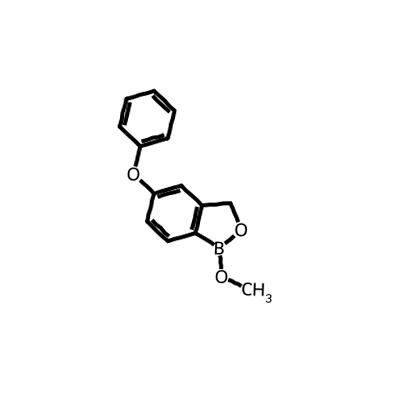 COB1OCc2cc(Oc3ccccc3)ccc21